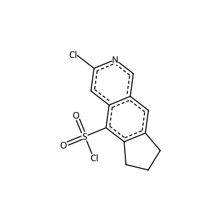 O=S(=O)(Cl)c1c2c(cc3cnc(Cl)cc13)CCC2